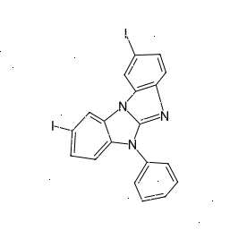 Ic1ccc2nc3n(-c4ccccc4)c4ccc(I)cc4n3c2c1